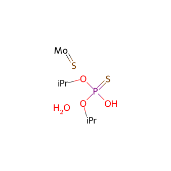 CC(C)OP(O)(=S)OC(C)C.O.[S]=[Mo]